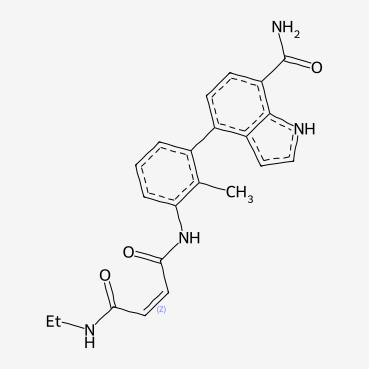 CCNC(=O)/C=C\C(=O)Nc1cccc(-c2ccc(C(N)=O)c3[nH]ccc23)c1C